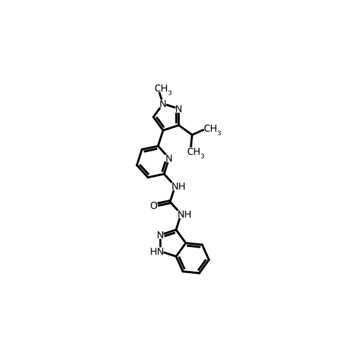 CC(C)c1nn(C)cc1-c1cccc(NC(=O)Nc2n[nH]c3ccccc23)n1